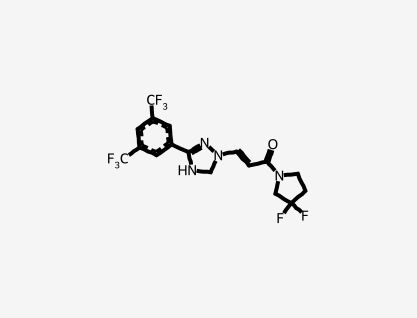 O=C(C=CN1CNC(c2cc(C(F)(F)F)cc(C(F)(F)F)c2)=N1)N1CCC(F)(F)C1